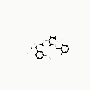 CCOc1cccc(Cl)c1Cn1nc(C)c(O)c(NC(=O)N[C@@H](CC(=O)O)c2cccc(OC(C)C)c2)c1=O